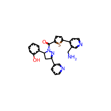 NCc1cnccc1-c1ccc(C(=O)N2N=C(c3cccnc3)CC2c2ccccc2O)s1